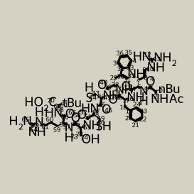 CCCC[C@H](NC(C)=O)C(=O)N[C@@H](CCCNC(=N)N)C(=O)N[C@@H](Cc1ccccc1)C(=O)N[C@@H](Cc1c[nH]c2ccccc12)C(=O)N[C@H](CS)C(=O)N[C@@H](CS)C(=O)N[C@H](C(=O)N[C@@H](CCCNC(=N)N)C(=O)N[C@H](C(=O)O)C(C)(C)C)[C@@H](C)O